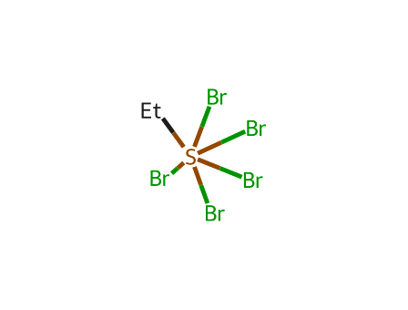 CCS(Br)(Br)(Br)(Br)Br